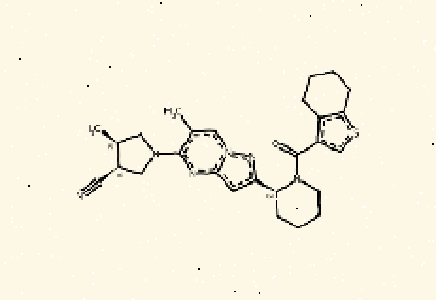 Cc1cn2nc([C@@H]3CCCCN3C(=O)c3csc4c3CCCC4)cc2nc1N1C[C@@H](C#N)[C@@H](C)C1